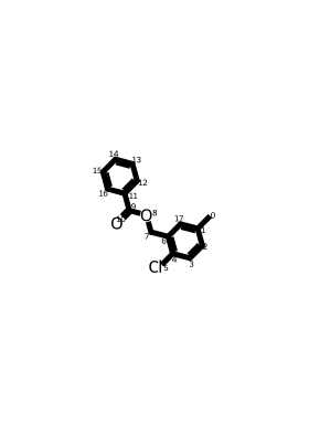 Cc1ccc(Cl)c(COC(=O)c2ccccc2)c1